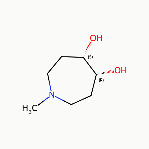 CN1CC[C@@H](O)[C@@H](O)CC1